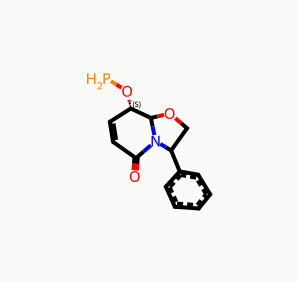 O=C1C=C[C@H](OP)C2OCC(c3ccccc3)N12